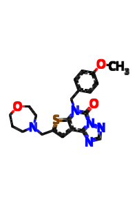 COc1ccc(Cn2c(=O)n3ncnc3c3cc(CN4CCCOCC4)sc32)cc1